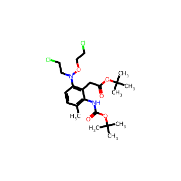 Cc1ccc(N(CCCl)OCCCl)c(CC(=O)OC(C)(C)C)c1NC(=O)OC(C)(C)C